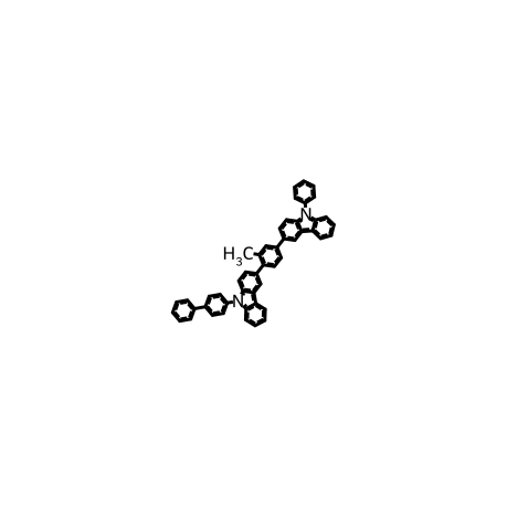 Cc1cc(-c2ccc3c(c2)c2ccccc2n3-c2ccccc2)ccc1-c1ccc2c(c1)c1ccccc1n2-c1ccc(-c2ccccc2)cc1